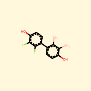 Bc1c(O)ccc(-c2ccc(O)c(F)c2F)c1B